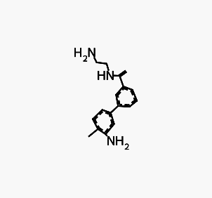 C=C(NCCN)c1cccc(-c2ccc(C)c(N)c2)c1